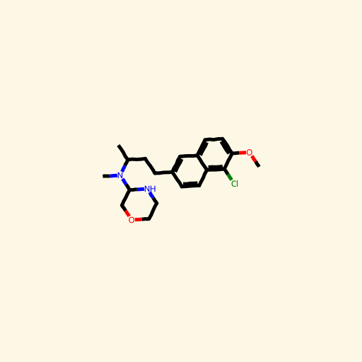 COc1ccc2cc(CCC(C)N(C)C3COCCN3)ccc2c1Cl